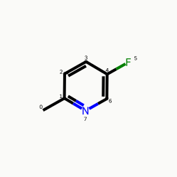 Cc1[c]cc(F)cn1